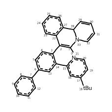 CC1=C(c2ccc(-c3ccccc3)cc2-c2cc(C(C)(C)C)ccn2)c2ccccc2C2C=CC=CN12